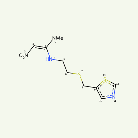 CN/C(=C/[N+](=O)[O-])NCCSCc1cncs1